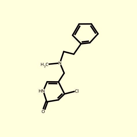 CN(CCc1ccccc1)Cc1c[nH]c(=O)cc1Cl